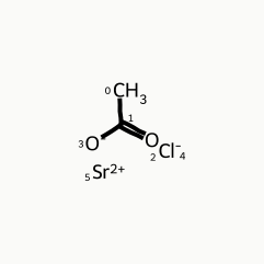 CC(=O)[O-].[Cl-].[Sr+2]